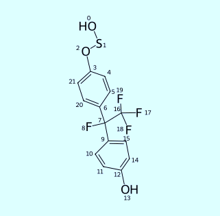 OSOc1ccc(C(F)(c2ccc(O)cc2)C(F)(F)F)cc1